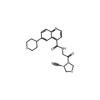 N#C[C@@H]1CSCN1C(=O)CNC(=O)c1ccnc2ccc(C3CCOCC3)cc12